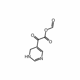 O=COC(=O)C(=O)C1=CN=CNC1